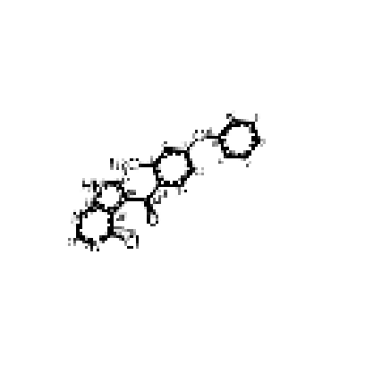 Cc1cc(Oc2ccccc2)ccc1C(=O)c1c[nH]c2ncnc(Cl)c12